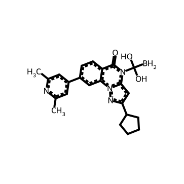 BC(O)(O)n1c(=O)c2ccc(-c3cc(C)nc(C)c3)cc2n2nc(C3CCCC3)cc12